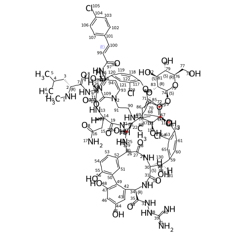 CN[C@H](CC(C)C)C(=O)N[C@H]1C(=O)N[C@@H](CC(N)=O)C(=O)N[C@H]2C(=O)N[C@H]3C(=O)N[C@H](C(=O)N[C@@H](C(=O)NNC(=N)N)c4cc(O)cc(O)c4-c4cc3ccc4O)[C@H](O)c3ccc(c(Cl)c3)Oc3cc2cc(c3O[C@@H]2O[C@H](CO)[C@@H](O)[C@H](O)[C@H]2O[C@H]2C[C@](C)(NCCn3ccc(NC(=O)/C=C/c4ccc(Cl)cc4)nc3=O)[C@H](O)[C@H](C)O2)Oc2ccc(cc2Cl)[C@H]1O